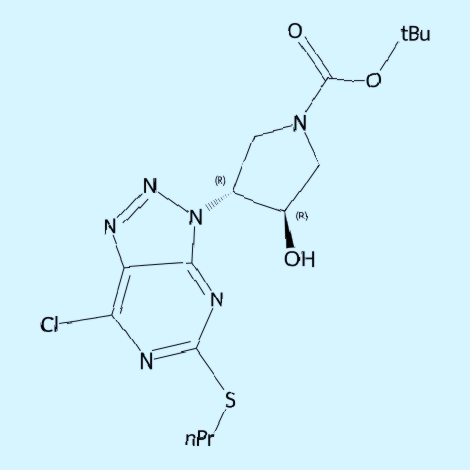 CCCSc1nc(Cl)c2nnn([C@@H]3CN(C(=O)OC(C)(C)C)C[C@H]3O)c2n1